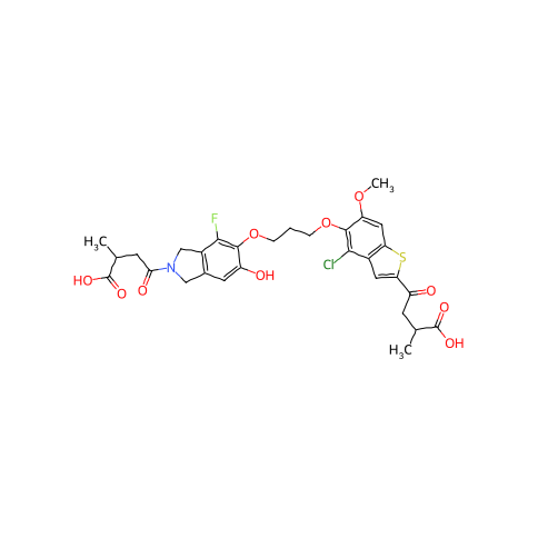 COc1cc2sc(C(=O)CC(C)C(=O)O)cc2c(Cl)c1OCCCOc1c(O)cc2c(c1F)CN(C(=O)CC(C)C(=O)O)C2